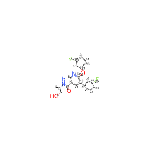 C[C@H](CO)NC(=O)c1cnc(Oc2cccc(F)c2)c(-c2cccc(F)c2)c1